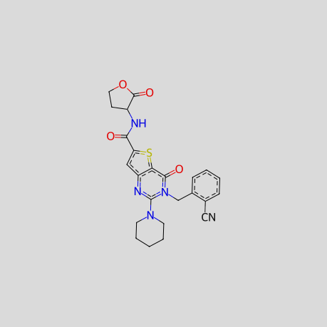 N#Cc1ccccc1Cn1c(N2CCCCC2)nc2cc(C(=O)NC3CCOC3=O)sc2c1=O